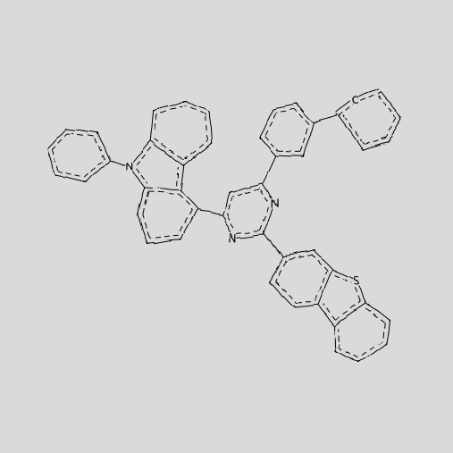 c1ccc(-c2cccc(-c3cc(-c4cccc5c4c4ccccc4n5-c4ccccc4)nc(-c4ccc5c(c4)sc4ccccc45)n3)c2)cc1